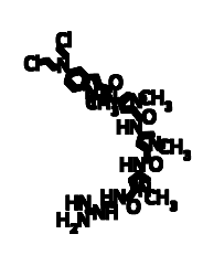 Cn1cc(NC(=O)c2cc(NC(=O)c3cc(NC(=O)c4cc5cc(N(CCCl)CCCl)ccc5n4C)cn3C)cn2C)cc1C(=O)NCCNC(=N)N